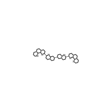 c1cnc2c(c1)ccc1ccc(-c3ccc4cc(-c5ccc6ccc(-c7ccc8ccc9cccnc9c8n7)nc6c5)ccc4n3)nc12